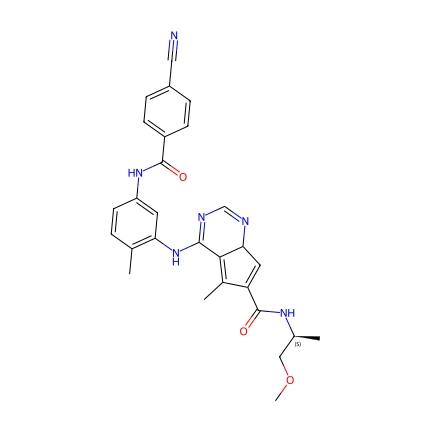 COC[C@H](C)NC(=O)C1=CC2N=CN=C(Nc3cc(NC(=O)c4ccc(C#N)cc4)ccc3C)C2=C1C